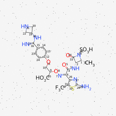 C[C@@H]1[C@H](NC(=O)C(=NOC(COc2ccc(C(=N)NC3CNC3)cc2)C(=O)O)c2nc(N)sc2C(F)(F)F)C(=O)N1S(=O)(=O)O